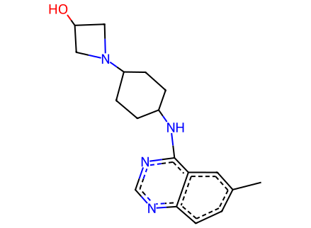 Cc1ccc2ncnc(NC3CCC(N4CC(O)C4)CC3)c2c1